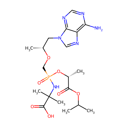 CC(C)OC(=O)[C@@H](C)O[P@](=O)(CO[C@H](C)Cn1cnc2c(N)ncnc21)NC(C)(C)C(=O)O